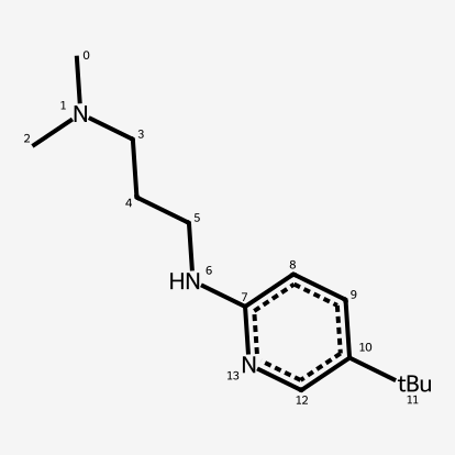 CN(C)CCCNc1ccc(C(C)(C)C)cn1